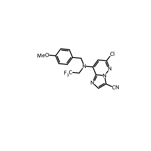 COc1ccc(CN(CC(F)(F)F)c2cc(Cl)nn3c(C#N)cnc23)cc1